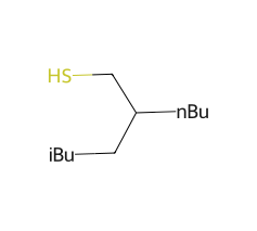 CCCCC(CS)CC(C)CC